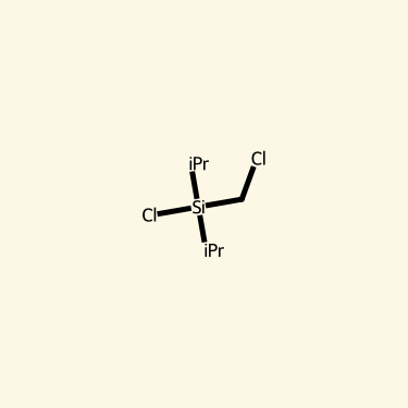 CC(C)[Si](Cl)(CCl)C(C)C